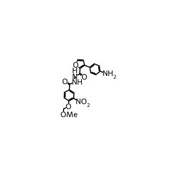 COCOc1ccc(C(=O)NNC(=O)c2occc2-c2ccc(N)cc2)cc1[N+](=O)[O-]